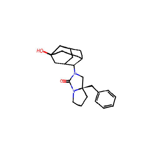 O=C1N(C2C3CC4CC2CC(O)(C4)C3)C[C@]2(Cc3ccccc3)CCCN12